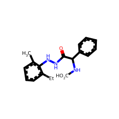 CCc1cccc(C)c1NNC(=O)C(NC(=O)O)c1ccccc1